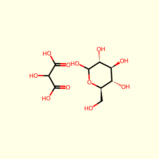 O=C(O)C(O)C(=O)O.OC[C@H]1OC(O)[C@H](O)[C@@H](O)[C@@H]1O